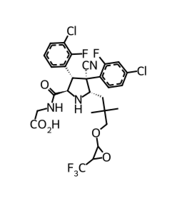 CC(C)(COC1OC1C(F)(F)F)C[C@@H]1N[C@@H](C(=O)NCC(=O)O)[C@H](c2cccc(Cl)c2F)[C@@]1(C#N)c1ccc(Cl)cc1F